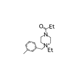 CCC(=O)N1CC[N+](CC)(Cc2cccc(C)c2)CC1